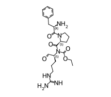 CCOC(=O)N(C(=O)[C@@H]1CCCN1C(=O)[C@H](N)Cc1ccccc1)[C@H](C=O)CCCNC(=N)N